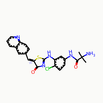 CC(C)(N)C(=O)Nc1ccc(Cl)c(NC2=NC(=O)/C(=C/c3ccc4ncccc4c3)S2)c1